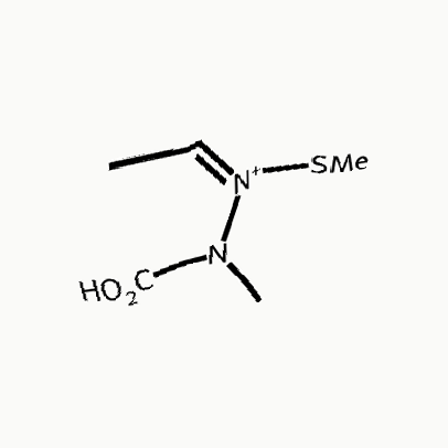 CC=[N+](SC)N(C)C(=O)O